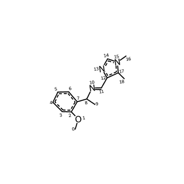 COc1ccccc1C(C)N=Cc1ncn(C)c1C